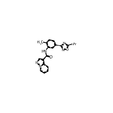 CCCc1nc(-c2ccc(C)c(NC(=O)c3cnn4ccccc34)c2)no1